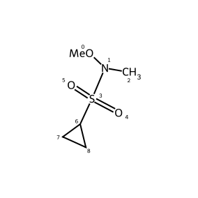 CON(C)S(=O)(=O)C1CC1